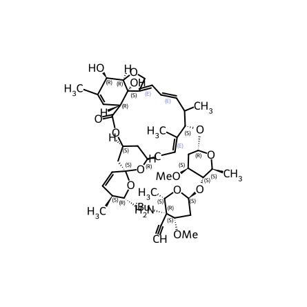 C#C[C@@]1(N)[C@H](C)O[C@@H](O[C@H]2[C@H](C)O[C@@H](O[C@@H]3/C(C)=C/C[C@@H]4C[C@@H](C[C@]5(C=C[C@H](C)[C@@H](C(C)CC)O5)O4)OC(=O)[C@@H]4C=C(C)[C@@H](O)[C@H]5OC/C(=C\C=C\C3C)[C@]54O)C[C@@H]2OC)C[C@@H]1OC